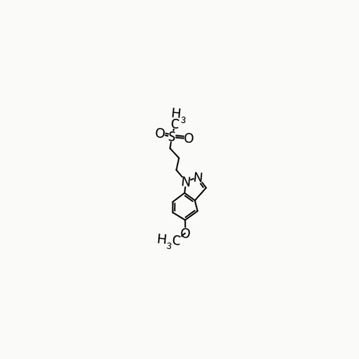 COc1ccc2c(cnn2CCCS(C)(=O)=O)c1